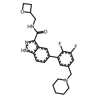 O=C(NCC1CCO1)c1n[nH]c2ccc(-c3cc(CN4CCCCC4)cc(F)c3F)cc12